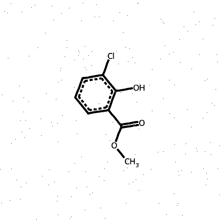 COC(=O)c1cccc(Cl)c1O